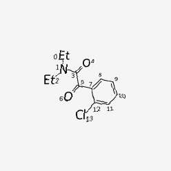 CCN(CC)C(=O)C(=O)c1ccccc1Cl